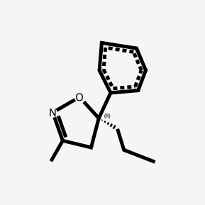 CCC[C@]1(c2ccccc2)CC(C)=NO1